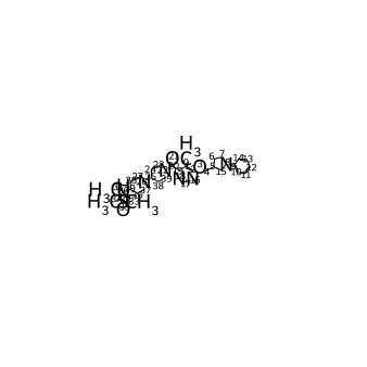 Cc1c(OCC2CCN(c3ccccc3)C2)ncnc1C(=O)N1CCC(N2CCC(N(C)[SH](C)(C)=O)CC2)CC1